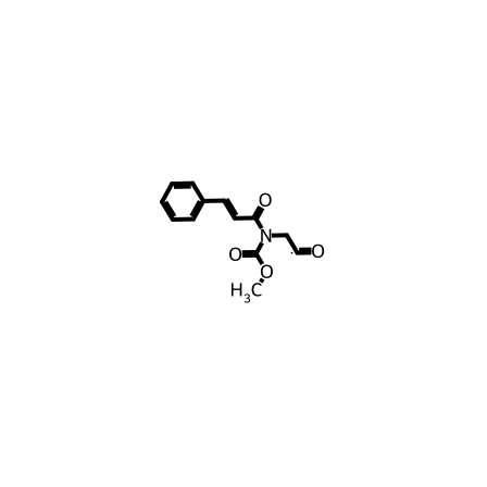 COC(=O)N(C[C]=O)C(=O)/C=C/c1ccccc1